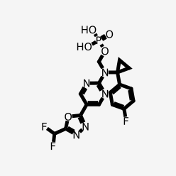 O=P(O)(O)OCN(c1ncc(-c2nnc(C(F)F)o2)cn1)C1(c2ccc(F)cc2)CC1